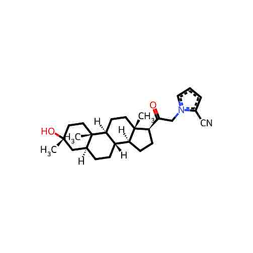 C[C@@]1(O)CC[C@@]2(C)[C@@H](CC[C@@H]3[C@@H]2CC[C@]2(C)[C@@H](C(=O)Cn4cccc4C#N)CC[C@@H]32)C1